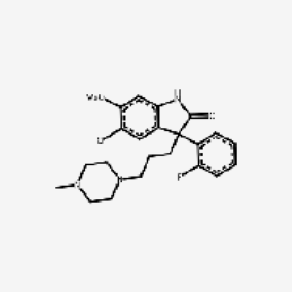 COc1cc2c(cc1Cl)C(CCCN1CCN(C)CC1)(c1ccccc1F)C(=O)N2